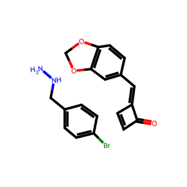 NNCc1ccc(Br)cc1.O=C1C=CC1=Cc1ccc2c(c1)OCO2